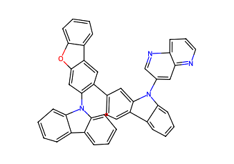 c1cnc2cc(-n3c4ccccc4c4ccc(-c5cc6c(cc5-n5c7ccccc7c7ccccc75)oc5ccccc56)cc43)cnc2c1